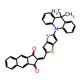 CC1(C)c2ccccc2N(c2cc3sc(C=C4C(=O)c5cc6ccccc6cc5C4=O)cc3s2)c2ccccc21